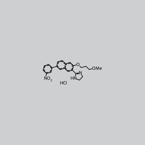 COCCCOc1cc2ccc(-c3cccc([N+](=O)[O-])c3)cc2cc1C1=NCCN1.Cl